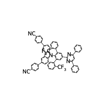 N#Cc1ccc(-c2ccc3c(c2)c2cc(-c4ccc(C#N)cc4)ccc2n3-c2c(-c3ccccc3C(F)(F)F)cc(-c3nc(-c4ccccc4)cc(-c4ccccc4)n3)cc2-c2ccccc2C(F)(F)F)cc1